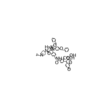 O=C(NCc1ccc(-c2c(C(=O)NC3CCN(CC4CC4)CC3)nnn2-c2ccc(OCc3ccccc3)cc2OCc2ccccc2)cc1)c1ccc(-c2c3ccc(=O)cc-3oc3cc(O)ccc23)c(C(=O)O)c1